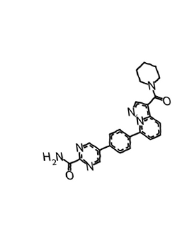 NC(=O)c1ncc(-c2ccc(-c3cccc4c(C(=O)N5CCCCC5)cnn34)cc2)cn1